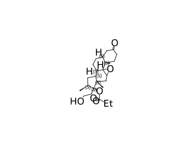 CCC(=O)O[C@@]1(C(=O)CO)[C@@H](C)C[C@H]2[C@@H]3CC[C@H]4CC(=O)CC[C@]4(C)C34OC4C[C@@]21C